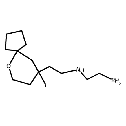 BCCNCCC1(I)CCOC2(CCCC2)C1